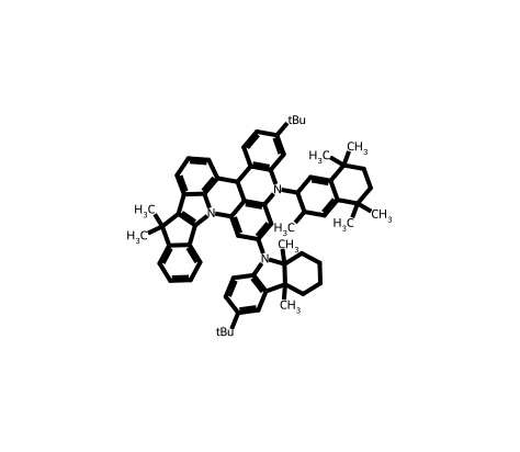 CC1C=C2C(=CC1N1c3cc(C(C)(C)C)ccc3C3c4c1cc(N1c5ccc(C(C)(C)C)cc5C5(C)CCCCC15C)cc4-n1c4c(c5cccc3c51)C(C)(C)c1ccccc1-4)C(C)(C)CCC2(C)C